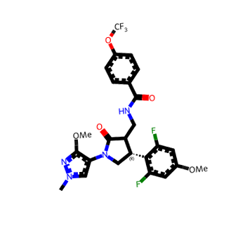 COc1cc(F)c([C@@H]2CN(c3cn(C)nc3OC)C(=O)C2CNC(=O)c2ccc(OC(F)(F)F)cc2)c(F)c1